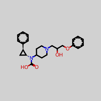 O=C(O)N(C1CCN(CC(O)COc2ccccc2)CC1)[C@@H]1C[C@H]1c1ccccc1